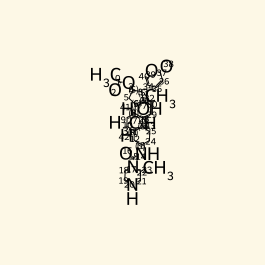 CC(=O)O[C@H]1C[C@]2(O)[C@@H]3CC[C@@H]4C[C@@H](NC(=O)N5CCNCC5C)CC[C@]4(C)[C@H]3CC[C@]2(C)[C@H]1c1ccc(=O)oc1